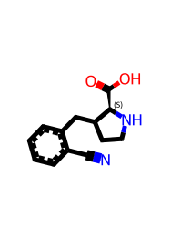 N#Cc1ccccc1CC1CCN[C@@H]1C(=O)O